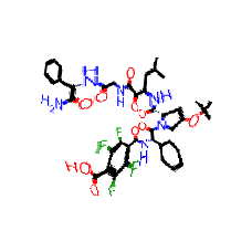 CC(C)CC(NC(=O)[C@@H]1C[C@@H](OC(C)(C)C)CN1C(=O)[C@@H](NC(=O)c1c(F)c(F)c(C(=O)O)c(F)c1F)C1CCCCC1)C(=O)C(=O)NCC(=O)N[C@H](C(N)=O)c1ccccc1